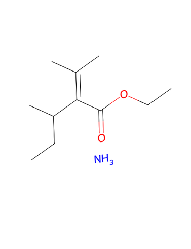 CCOC(=O)C(=C(C)C)C(C)CC.N